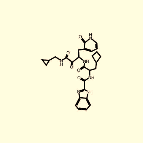 O=C(NCC1CC1)C(=O)C(Cc1ccc[nH]c1=O)NC(=O)C(CC1CCC1)NC(=O)c1nc2ccccc2[nH]1